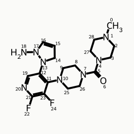 CN1CCN(C(=O)N2CCN(c3c(N4CC=CN4N)cnc(F)c3F)CC2)CC1